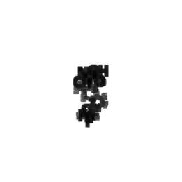 CCC(Cc1ccccc1OC(F)(F)F)CC(CN)C(=O)O